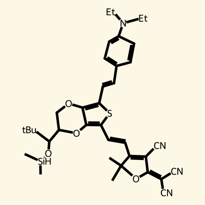 CCN(CC)c1ccc(/C=C/c2sc(/C=C/C3=C(C#N)C(=C(C#N)C#N)OC3(C)C)c3c2OCC(C(O[SiH](C)C)C(C)(C)C)O3)cc1